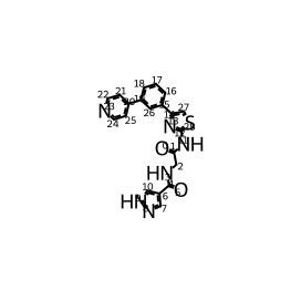 O=C(CNC(=O)c1cn[nH]c1)Nc1nc(-c2cccc(-c3ccncc3)c2)cs1